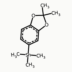 CC1(C)Oc2cc[c]([Sn]([CH3])([CH3])[CH3])cc2O1